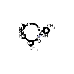 Cc1ccc2c(c1)N1CCCCCC3CC3S(=O)(=O)N3CC(C=N3)c3cc(cc(C)n3)C(=O)/N=C/1N2